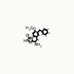 COc1cc2c(cc1Cc1ccccc1)CC(N)c1n[nH]c(=O)n1-2